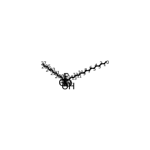 CCCCCCCCCCCCCCCCC(F)(CCCCCCCCCC)S(=O)(=O)O